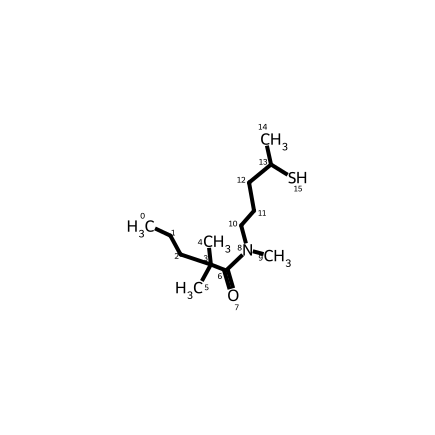 CCCC(C)(C)C(=O)N(C)CCCC(C)S